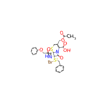 CC(=O)OCC1=C(C(=O)O)N2C(=O)[C@@](NC(=O)COc3ccccc3)([S+](Br)Cc3ccccc3)[C@H]2SC1